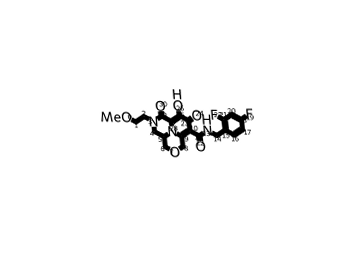 COCCN1CC2COCc3c(C(=O)NCc4ccc(F)cc4F)c(=O)c(O)c(n32)C1=O